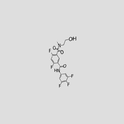 CN(CCO)S(=O)(=O)c1cc(C(=O)Nc2cc(F)c(F)c(F)c2)c(F)cc1F